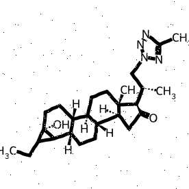 CCC1C2[C@H]3CC[C@@H]4[C@H](CC[C@]5(C)[C@@H]([C@@H](C)Cn6nnc(C)n6)C(=O)C[C@@H]45)[C@H]3CC[C@]12O